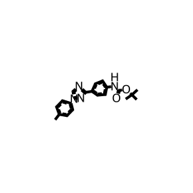 Cc1ccc(-n2cnc(-c3ccc(NC(=O)OC(C)(C)C)cc3)n2)cc1